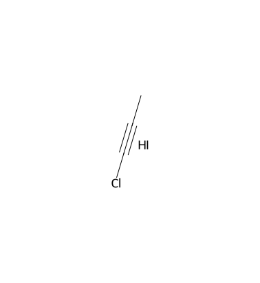 CC#CCl.I